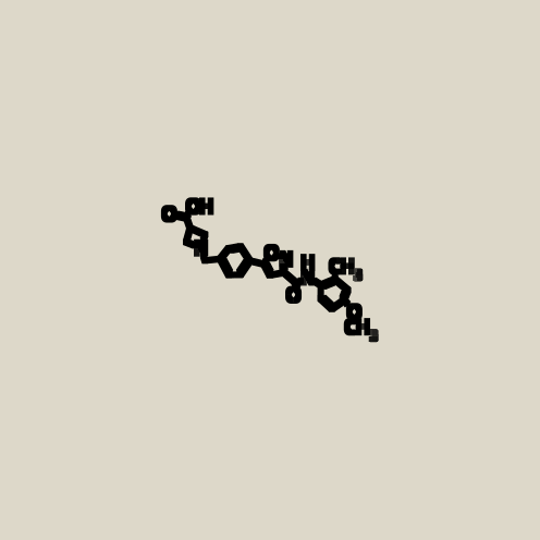 COc1ccc(NC(=O)c2cc(-c3ccc(CN4CC(C(=O)O)C4)cc3)on2)c(C)c1